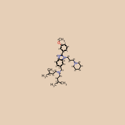 COc1cccc(-c2nc3ccc(CN(CCC(C)C)CCC(C)C)cc3n2CCCN2CCCCC2)c1